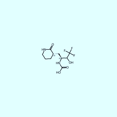 O=C(O)N[C@@H](C[C@@H]1CCCNC1=O)C(O)C(F)(F)F